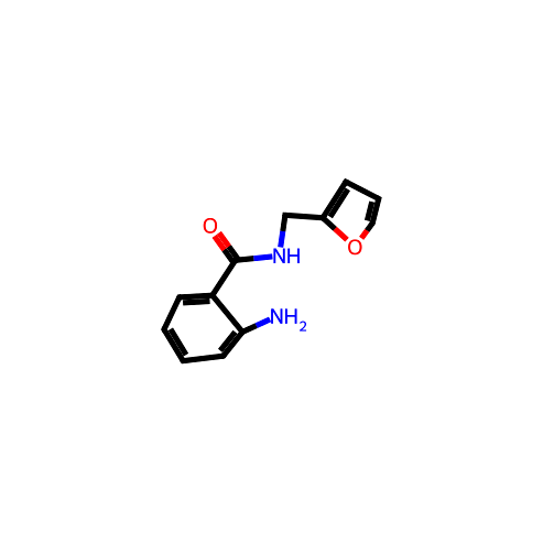 Nc1ccccc1C(=O)NCc1ccco1